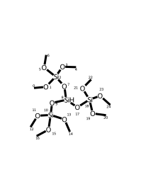 CO[Si](OC)(OC)O[SiH](O[Si](OC)(OC)OC)O[Si](OC)(OC)OC